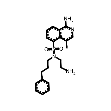 Cc1cnc(N)c2cccc(S(=O)(=O)N(CCN)CCCc3ccccc3)c12